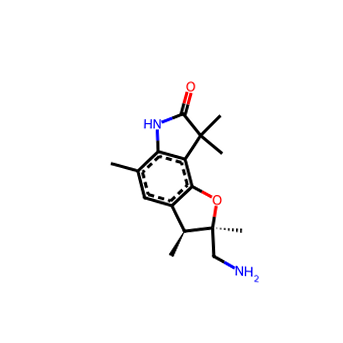 Cc1cc2c(c3c1NC(=O)C3(C)C)O[C@@](C)(CN)[C@H]2C